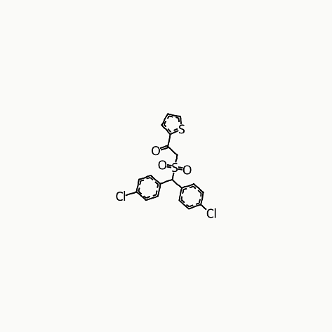 O=C(CS(=O)(=O)C(c1ccc(Cl)cc1)c1ccc(Cl)cc1)c1cccs1